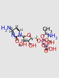 CC(N)OP(=O)(OC[C@H]1O[C@@H](n2ccc(N)nc2=O)C(O)C1O)OP(=O)(O)O